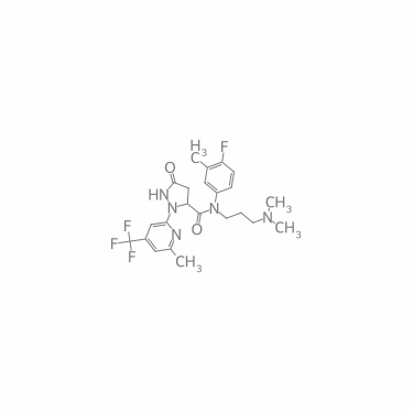 Cc1cc(C(F)(F)F)cc(N2NC(=O)CC2C(=O)N(CCCN(C)C)c2ccc(F)c(C)c2)n1